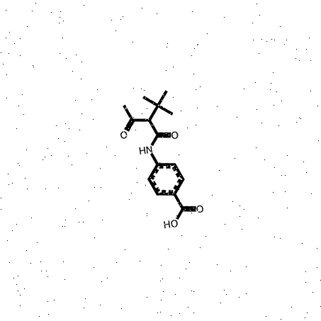 CC(=O)C(C(=O)Nc1ccc(C(=O)O)cc1)C(C)(C)C